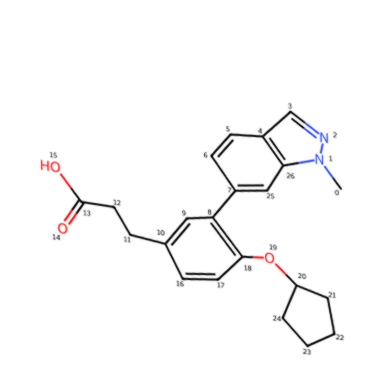 Cn1ncc2ccc(-c3cc(CCC(=O)O)ccc3OC3CCCC3)cc21